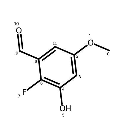 COc1cc(O)c(F)c(C=O)c1